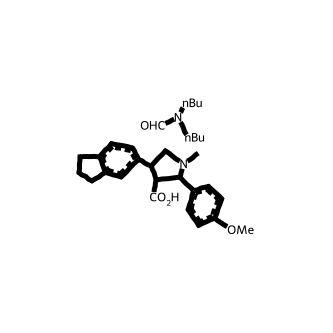 CCCCN(C=O)CCCC.COc1ccc(C2C(C(=O)O)C(c3ccc4c(c3)CCC4)CN2C)cc1